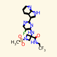 CS(=O)(=O)N1CC(Nc2nc(-c3c[nH]c4ncccc34)ncc2F)(C(=O)NCC(F)(F)F)C1